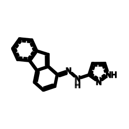 C1=CC(=NNc2cc[nH]n2)C2=Cc3ccccc3C2=C1